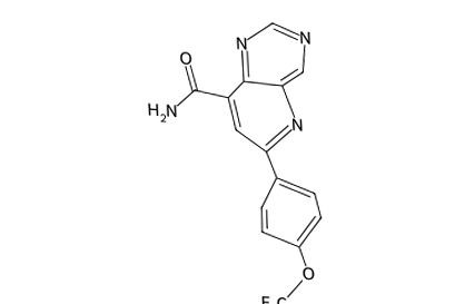 NC(=O)c1cc(-c2ccc(OC(F)(F)F)cc2)nc2cncnc12